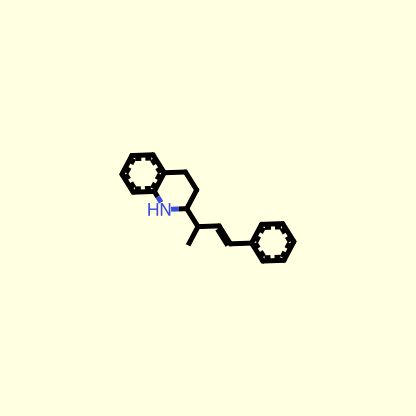 CC(/C=C/c1ccccc1)C1CCc2ccccc2N1